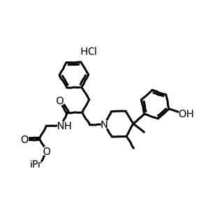 CC(C)OC(=O)CNC(=O)C(Cc1ccccc1)CN1CCC(C)(c2cccc(O)c2)C(C)C1.Cl